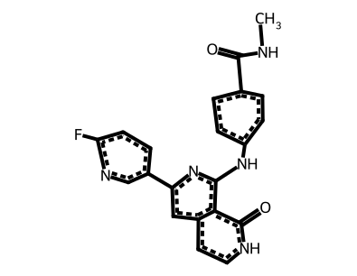 CNC(=O)c1ccc(Nc2nc(-c3ccc(F)nc3)cc3cc[nH]c(=O)c23)cc1